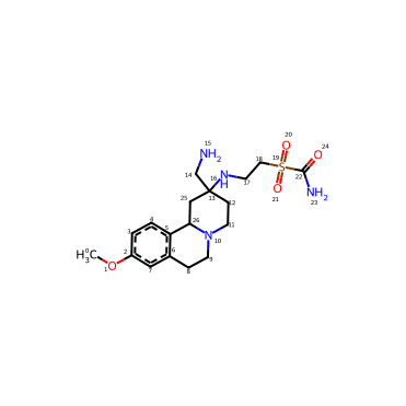 COc1ccc2c(c1)CCN1CCC(CN)(NCCS(=O)(=O)C(N)=O)CC21